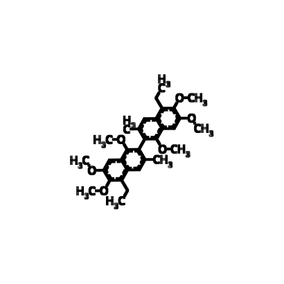 CCc1c(OC)c(OC)cc2c(OC)c(-c3c(C)cc4c(CC)c(OC)c(OC)cc4c3OC)c(C)cc12